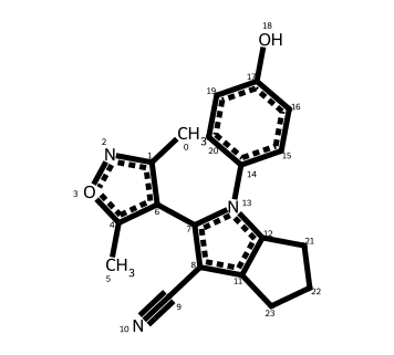 Cc1noc(C)c1-c1c(C#N)c2c(n1-c1ccc(O)cc1)CCC2